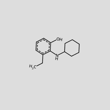 CCc1cccc(O)c1NC1CCCCC1